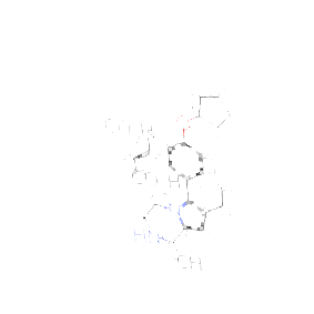 CC1NCCn2c1cc1c2-c2ccc(OC3CCCC3)cc2CC1.O=C(O)/C=C/C(=O)O